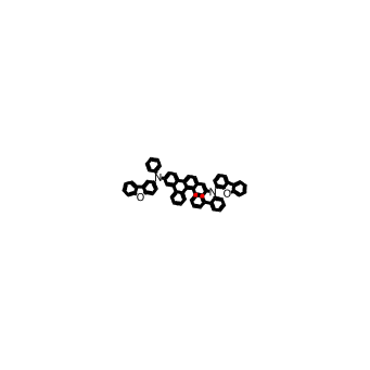 c1ccc(-c2ccccc2N(c2ccc3c(ccc4c5ccc(N(c6ccccc6)c6ccc7oc8ccccc8c7c6)cc5c5ccccc5c34)c2)c2cccc3c2oc2ccccc23)cc1